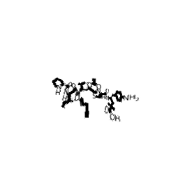 C#CCCCON(C(=O)[C@@H](NC(=O)[C@H]1CCCCN1)[C@@H](C)CC)[C@H](C[C@@H](OC(C)=O)c1nc(C(=O)N[C@@H](Cc2ccc(N)cc2)CC(C)(C)C(=O)O)cs1)C(C)C